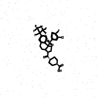 O=C(O)[C@H]1CC[C@H](C(=O)N2CCC3(S(=O)(=O)c4ccc(F)c(Cl)c4)c4ccc(C(F)(C(F)(F)F)C(F)(F)F)cc4CCC23)CC1